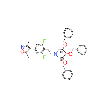 Cc1noc(C)c1-c1cc(F)c(CCN2C[C@H](OCc3ccccc3)C(OCc3ccccc3)[C@H](OCc3ccccc3)C2)c(F)c1